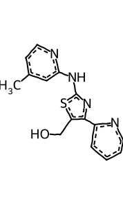 Cc1ccnc(Nc2nc(-c3ccccn3)c(CO)s2)c1